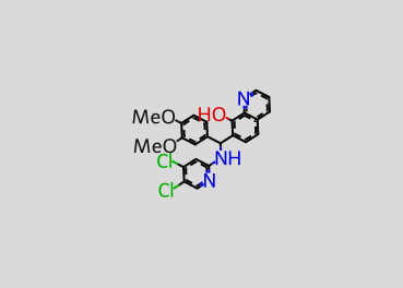 COc1ccc(C(Nc2cc(Cl)c(Cl)cn2)c2ccc3cccnc3c2O)cc1OC